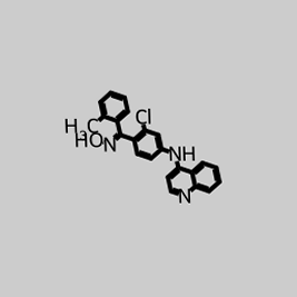 Cc1ccccc1C(=NO)c1ccc(Nc2ccnc3ccccc23)cc1Cl